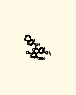 COc1cnc(Cl)cc1-c1cc(C)ncc1C(=O)Nc1cnc2c(n1)CCSC2